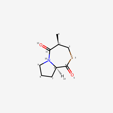 C[C@H]1CSC(=O)[C@H]2CCCN2C1=O